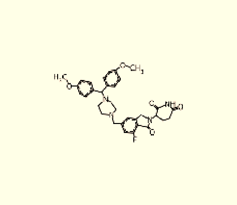 COc1ccc(C(c2ccc(OC)cc2)N2CCN(Cc3cc(F)c4c(c3)CN(C3CCC(=O)NC3=O)C4=O)CC2)cc1